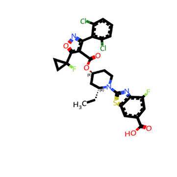 CC[C@@H]1C[C@H](OC(=O)c2c(-c3c(Cl)cccc3Cl)noc2C2(F)CC2)CCN1c1nc2c(F)cc(C(=O)O)cc2s1